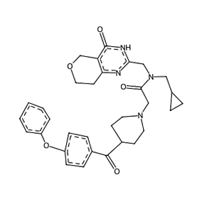 O=C(c1ccc(Oc2ccccc2)cc1)C1CCN(CC(=O)N(Cc2nc3c(c(=O)[nH]2)COCC3)CC2CC2)CC1